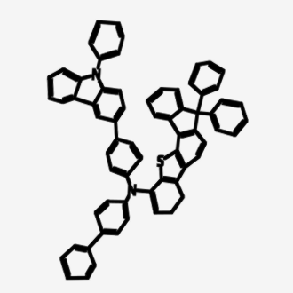 C1=C(N(c2ccc(-c3ccccc3)cc2)c2ccc(-c3ccc4c(c3)c3ccccc3n4-c3ccccc3)cc2)c2sc3c4c(ccc3c2CC1)C(c1ccccc1)(c1ccccc1)c1ccccc1-4